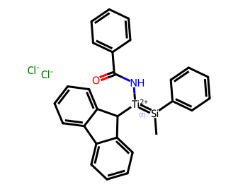 C/[Si](c1ccccc1)=[Ti+2](/[NH]C(=O)c1ccccc1)[CH]1c2ccccc2-c2ccccc21.[Cl-].[Cl-]